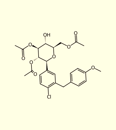 COc1ccc(Cc2cc([C@@H]3O[C@H](COC(C)=O)[C@@H](O)[C@H](OC(C)=O)[C@H]3OC(C)=O)ccc2Cl)cc1